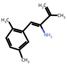 C=C(C)/C(N)=C/c1cc(C)ccc1C